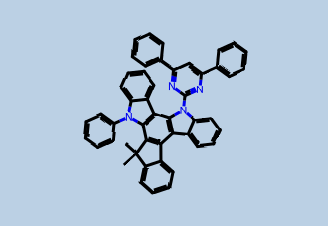 CC1(C)c2ccccc2-c2c1c1c(c3ccccc3n1-c1ccccc1)c1c2c2ccccc2n1-c1nc(-c2ccccc2)cc(-c2ccccc2)n1